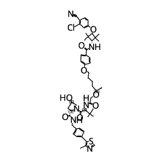 Cc1ncsc1-c1ccc(CNC(=O)[C@@H]2C[C@@H](O)CN2C(=O)[C@@H](NC(=O)CO[C@H](C)CCCCOc2ccc(C(=O)N[C@H]3C(C)(C)[C@H](Oc4ccc(C#N)c(Cl)c4)C3(C)C)cc2)C(C)(C)C)cc1